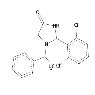 CC(c1ccccc1)N1CC(=O)NC1c1c(Cl)cccc1Cl